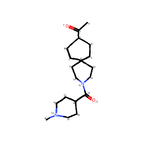 CC(=O)C1CCC2(CC1)CCN(C(=O)C1CCN(C)CC1)CC2